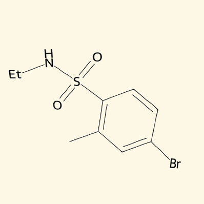 CCNS(=O)(=O)c1ccc(Br)cc1C